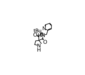 CC(C)(C)OC(=O)C1(C(=O)NCc2ccccn2)CCNC1